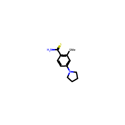 CSc1cc(N2CCCC2)ccc1C(N)=S